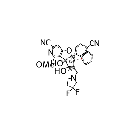 COc1nc(C#N)cc2c1[C@]1(O)[C@H](O)[C@H](CN3CCC(F)(F)C3)[C@@H](c3ccccc3)[C@]1(c1ccc(C#N)cc1)O2